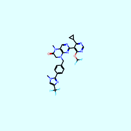 CN1C(=O)CN(Cc2ccc(-c3nc(C(F)(F)F)cn3C)cc2)c2nc(-c3c(OC(F)F)ncnc3C3CC3)ncc21